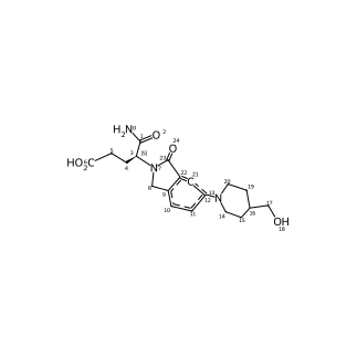 NC(=O)[C@H](CCC(=O)O)N1Cc2ccc(N3CCC(CO)CC3)cc2C1=O